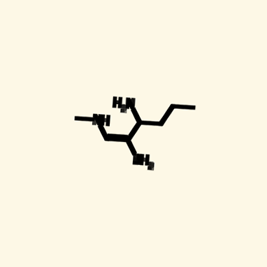 B/C(=C/NC)C(N)CCC